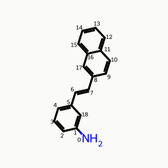 Nc1cccc(C=Cc2ccc3ccccc3c2)c1